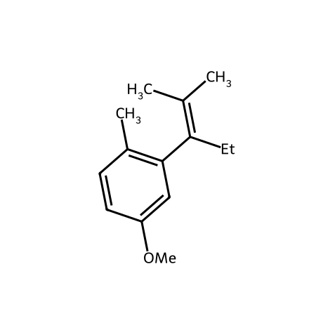 CCC(=C(C)C)c1cc(OC)ccc1C